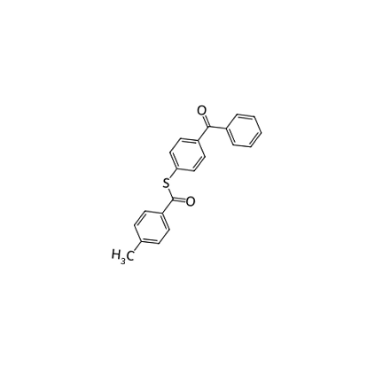 Cc1ccc(C(=O)Sc2ccc(C(=O)c3ccccc3)cc2)cc1